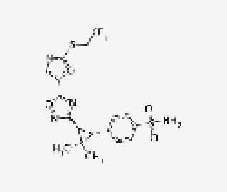 CC1(C)[C@@H](c2ccc(S(N)(=O)=O)cc2)[C@@H]1c1noc(-c2cnc(SCC(F)(F)F)o2)n1